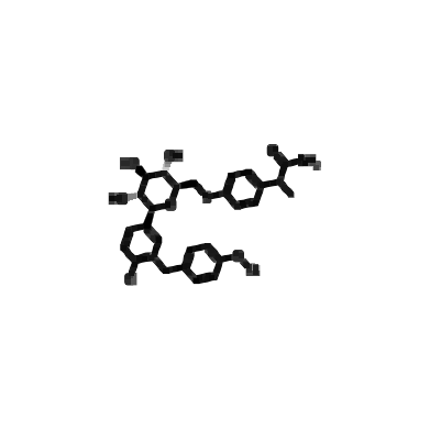 CCOc1ccc(Cc2cc([C@@H]3O[C@H](CSc4ccc(C(C)C(N)=O)cc4)[C@@H](O)[C@H](O)[C@H]3O)ccc2Cl)cc1